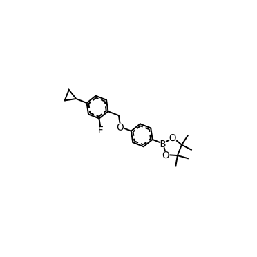 CC1(C)OB(c2ccc(OCc3ccc(C4CC4)cc3F)cc2)OC1(C)C